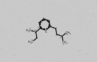 CC[C@@H](C)c1cccc(CCC(C)C)n1